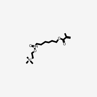 C=C(C)C(=O)OCCCCCC[PH](=O)OCC[N+](C)(C)C